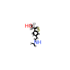 CC(C)NCCc1ccc2c([Si](C)(C)O)csc2c1